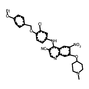 CCOc1ccc(COc2ccc(Nc3c(C#N)cnc4cc(OC5CCN(C)CC5)c([N+](=O)[O-])cc34)cc2Cl)cc1